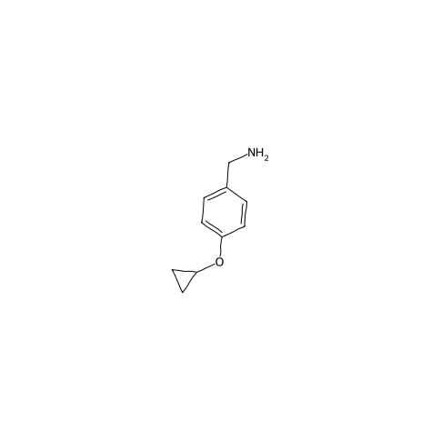 NCc1ccc(OC2CC2)cc1